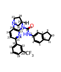 O=C(Nc1ccc2c(c1)CCC2)N1c2nc(-c3cccc(C(F)(F)F)c3)ccc2N2CC[C@H]1C2